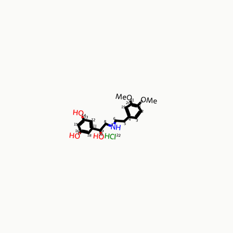 COc1ccc(CCNCC(O)c2cc(O)cc(O)c2)cc1OC.Cl